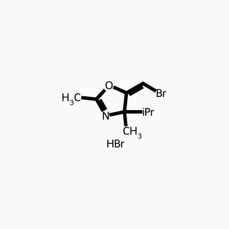 Br.CC1=NC(C)(C(C)C)C(=CBr)O1